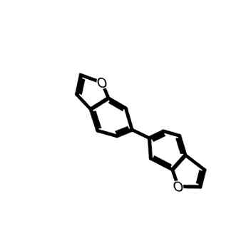 c1cc2ccc(-c3ccc4ccoc4c3)cc2o1